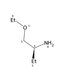 CCOC[C@@H](N)CC